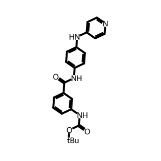 CC(C)(C)OC(=O)Nc1cccc(C(=O)Nc2ccc(Nc3ccncc3)cc2)c1